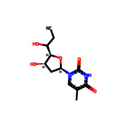 Cc1cn([C@H]2C[C@H](O)[C@@H](C(O)CC#N)O2)c(=O)[nH]c1=O